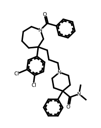 CN(C)C(=O)C1(c2ccccc2)CCN(CCCC2(c3ccc(Cl)c(Cl)c3)CCCCN(C(=O)c3ccccc3)C2)CC1